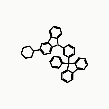 c1ccc(C2(c3cccc(-n4c5ccccc5c5cc(C6CCCCC6)ccc54)c3)c3ccccc3-c3ccccc32)cc1